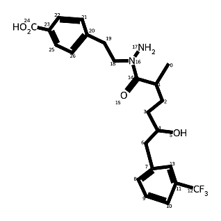 CC(CCC(O)Cc1cccc(C(F)(F)F)c1)C(=O)N(N)CCc1ccc(C(=O)O)cc1